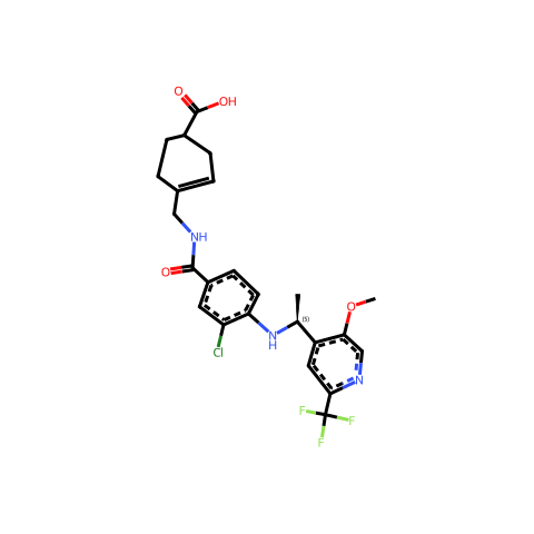 COc1cnc(C(F)(F)F)cc1[C@H](C)Nc1ccc(C(=O)NCC2=CCC(C(=O)O)CC2)cc1Cl